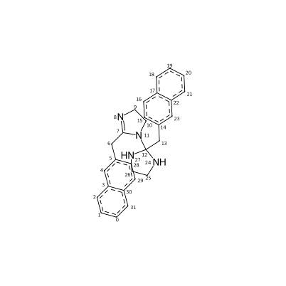 c1ccc2cc(CC3=NCCN3C3(Cc4ccc5ccccc5c4)NCCN3)ccc2c1